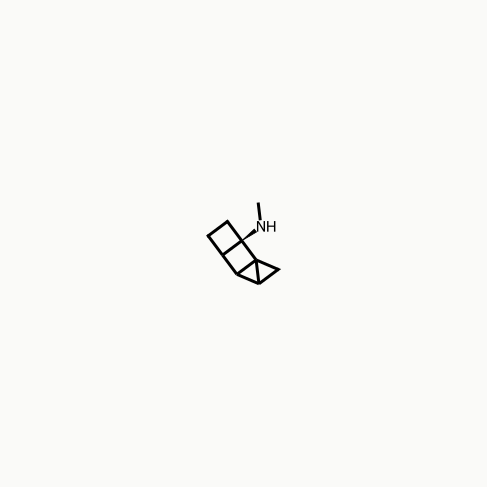 CN[C@]12CCC1C1C3CC312